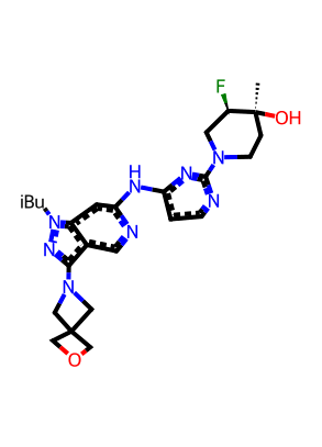 CCC(C)n1nc(N2CC3(COC3)C2)c2cnc(Nc3ccnc(N4CC[C@](C)(O)[C@H](F)C4)n3)cc21